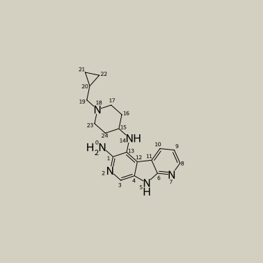 Nc1ncc2[nH]c3ncccc3c2c1NC1CCN(CC2CC2)CC1